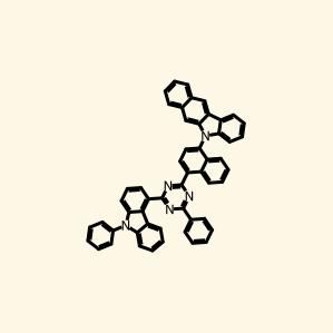 c1ccc(-c2nc(-c3ccc(-n4c5ccccc5c5cc6ccccc6cc54)c4ccccc34)nc(-c3cccc4c3c3ccccc3n4-c3ccccc3)n2)cc1